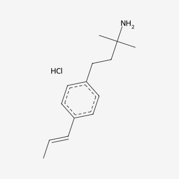 CC=Cc1ccc(CCC(C)(C)N)cc1.Cl